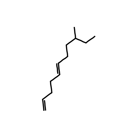 C=CCCC=CCCC(C)CC